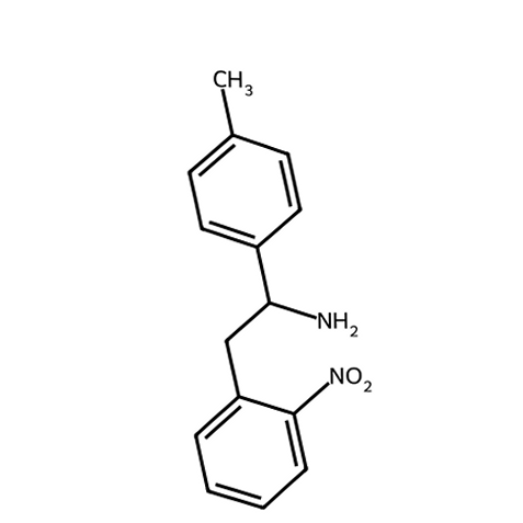 Cc1ccc(C(N)Cc2ccccc2[N+](=O)[O-])cc1